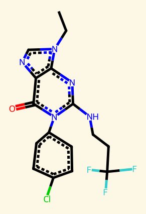 CCn1cnc2c(=O)n(-c3ccc(Cl)cc3)c(NCCC(F)(F)F)nc21